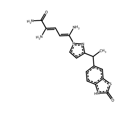 CC(c1ccc2[nH]c(=O)sc2c1)c1ccn(/C(N)=C/C=C(\N)C(N)=O)n1